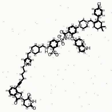 CC1(C)CCC(CN2CCN(c3ccc(C(=O)NS(=O)(=O)c4ccc(NCC5CCN(Cc6cnn(CCCCC#Cc7cccc8c7CN(C7CCC(=O)NC7=O)C8=O)c6)CC5)c([N+](=O)[O-])c4)c(Oc4cnc5[nH]ccc5c4)c3)CC2)=C(c2ccc(Cl)cc2)C1